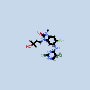 Cn1c(=O)n(CCC(C)(C)O)c2cc(Nc3nc(Cl)ncc3Cl)c(F)cc21